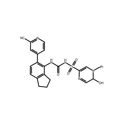 CC(C)N1C=C(S(=O)(=O)NC(=O)Nc2c(-c3ccnc(C#N)c3)ccc3c2CCC3)N=CC1O